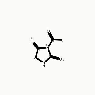 CC(=O)N1C(=O)CNC1=O